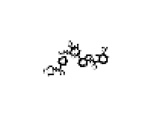 COc1cccc(C(=O)N2CCc3c(-c4cn(C)c(=O)c(Nc5ccc(C(=O)N6CCOCC6)cc5)n4)cccc32)c1C